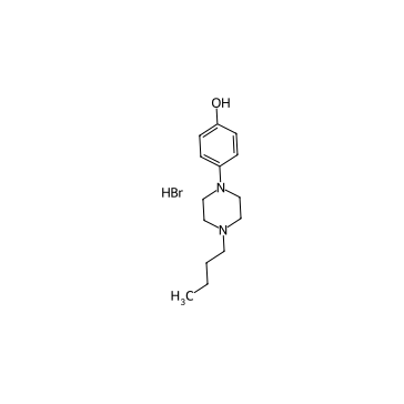 Br.CCCCN1CCN(c2ccc(O)cc2)CC1